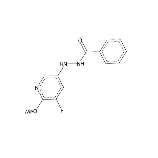 COc1ncc(NNC(=O)c2ccccc2)cc1F